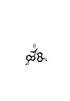 COc1cccc2c1C=C[CH]2[Zr+2]1([CH]2C=Cc3c(OC)cccc32)[CH](C)[CH]1C.[Cl-].[Cl-]